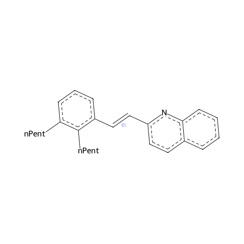 CCCCCc1cccc(/C=C/c2ccc3ccccc3n2)c1CCCCC